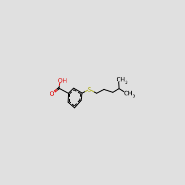 CC(C)CCCSc1cccc(C(=O)O)c1